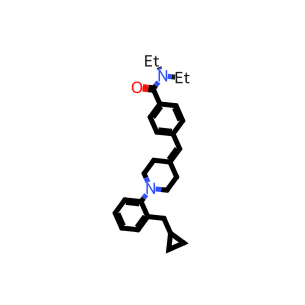 CCN(CC)C(=O)c1ccc(C=C2CCN(c3ccccc3CC3CC3)CC2)cc1